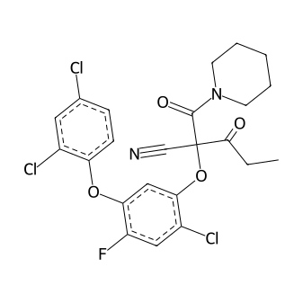 CCC(=O)C(C#N)(Oc1cc(Oc2ccc(Cl)cc2Cl)c(F)cc1Cl)C(=O)N1CCCCC1